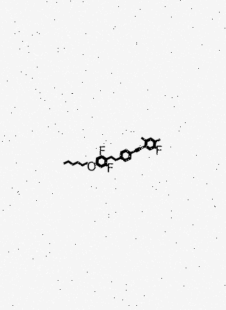 CCCCCCOc1cc(F)c(CCc2ccc(C#Cc3cc(F)c(C)cc3C)cc2)c(F)c1